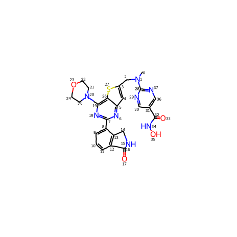 CN(Cc1cc2nc(-c3cccc4c3CNC4=O)nc(N3CCOCC3)c2s1)c1ncc(C(=O)NO)cn1